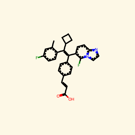 Cc1cc(F)ccc1/C(=C(\c1ccc(/C=C/C(=O)O)cc1)c1ccc2nccn2c1F)C1CCC1